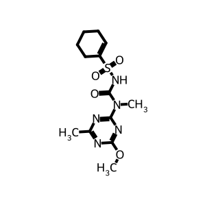 COc1nc(C)nc(N(C)C(=O)NS(=O)(=O)C2=CCCCC2)n1